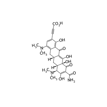 CN(C)c1cc(C#CC(=O)O)c(O)c2c1C[C@H]1C[C@H]3[C@H](N(C)C)C(O)=C(C(N)=O)C(=O)[C@@]3(O)C(O)=C1C2=O